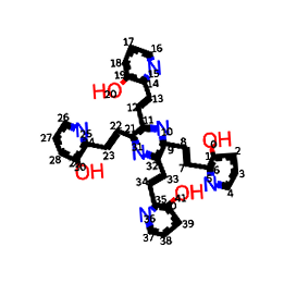 Oc1cccnc1C=Cc1nc(C=Cc2ncccc2O)c(C=Cc2ncccc2O)nc1C=Cc1ncccc1O